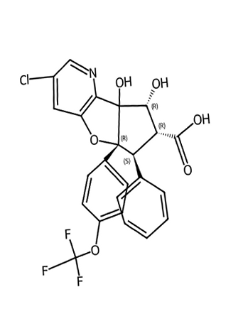 O=C(O)[C@H]1[C@@H](O)C2(O)c3ncc(Cl)cc3O[C@@]2(c2ccc(OC(F)(F)F)cc2)[C@@H]1c1ccccc1